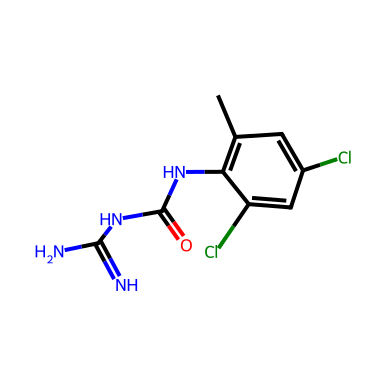 Cc1cc(Cl)cc(Cl)c1NC(=O)NC(=N)N